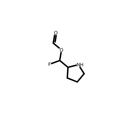 O=COC(F)C1CCCN1